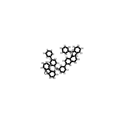 c1ccc(-c2ccc(N(c3cccc(-c4ccc5c(ccc6c7ccccc7n(-c7ccccc7)c56)c4)c3)c3cccc4oc5ccccc5c34)cc2)cc1